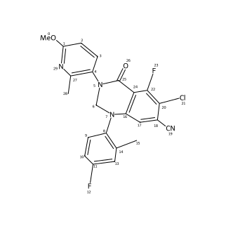 COc1ccc(N2CN(c3ccc(F)cc3C)c3cc(C#N)c(Cl)c(F)c3C2=O)c(C)n1